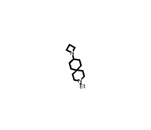 CCN1CCC2(CCC(N3CCC3)CC2)CC1